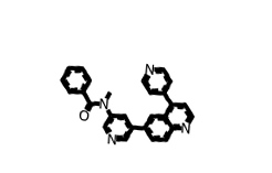 CN(C(=O)c1ccccc1)c1cncc(-c2ccc3nccc(-c4ccncc4)c3c2)c1